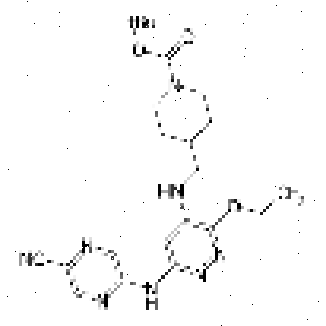 CC(C)(C)OC(=O)N1CCC(CNc2cc(Nc3cnc(C#N)cn3)nnc2OCC(F)(F)F)CC1